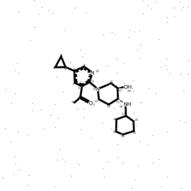 CC(=O)c1cc(C2CC2)cnc1N1CC[C@@H](NC2CCCCC2)[C@H](O)C1